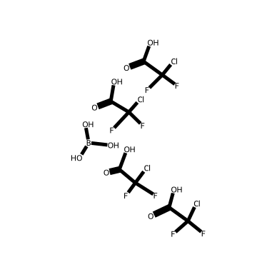 O=C(O)C(F)(F)Cl.O=C(O)C(F)(F)Cl.O=C(O)C(F)(F)Cl.O=C(O)C(F)(F)Cl.OB(O)O